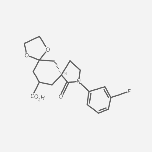 O=C(O)C1CC2(C[C@@]3(CCN(c4cccc(F)c4)C3=O)C1)OCCO2